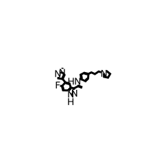 C=C(Nc1ccc(CCCN2CCCC2)cc1)c1n[nH]c2cc(F)c(-c3cnn(C)c3)cc12